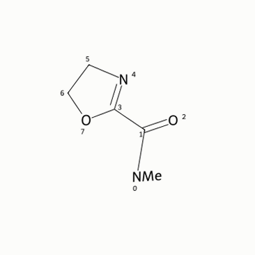 CNC(=O)C1=NCCO1